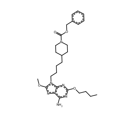 CCCCOc1nc(N)c2nc(OC)n(CCCCC3CCN(C(=O)OCc4ccccc4)CC3)c2n1